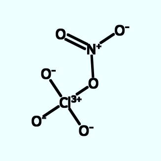 O=[N+]([O-])O[Cl+3]([O-])([O-])[O-]